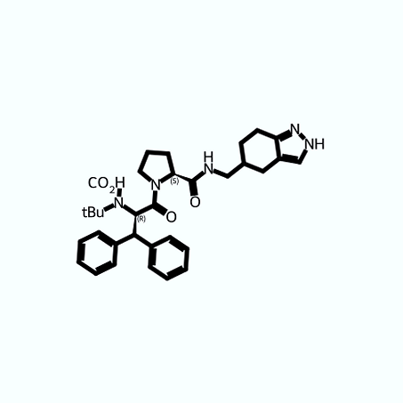 CC(C)(C)N(C(=O)O)[C@@H](C(=O)N1CCC[C@H]1C(=O)NCC1CCc2n[nH]cc2C1)C(c1ccccc1)c1ccccc1